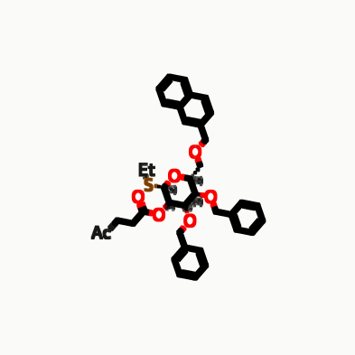 CCS[C@@H]1O[C@H](COCc2ccc3ccccc3c2)[C@@H](OCc2ccccc2)[C@H](OCc2ccccc2)[C@H]1OC(=O)CCC(C)=O